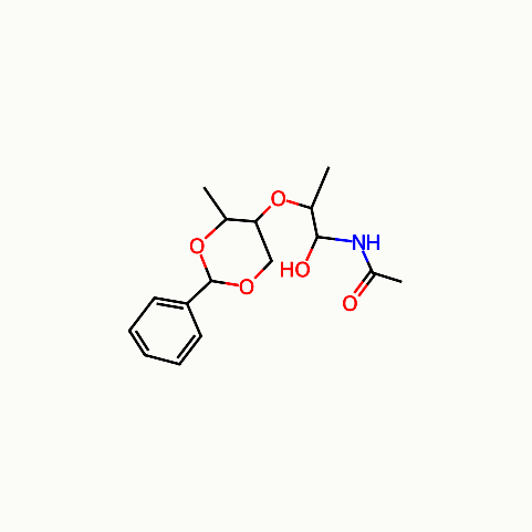 CC(=O)NC(O)C(C)OC1COC(c2ccccc2)OC1C